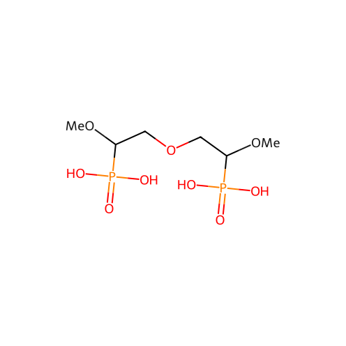 COC(COCC(OC)P(=O)(O)O)P(=O)(O)O